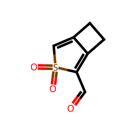 O=CC1=C2CCC2=CS1(=O)=O